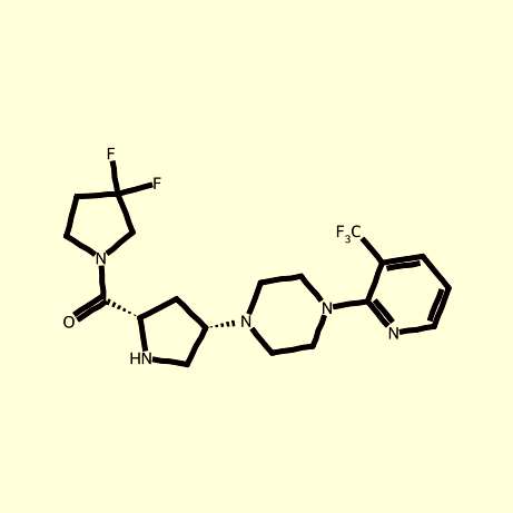 O=C([C@@H]1C[C@H](N2CCN(c3ncccc3C(F)(F)F)CC2)CN1)N1CCC(F)(F)C1